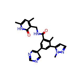 Cc1cc(C)c(CNC(=O)c2cc(-c3cncnc3)cc(-c3ccnn3C)c2C)c(=O)[nH]1